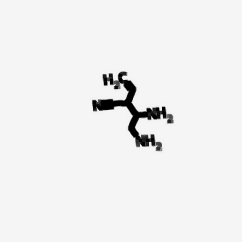 C=CC(C#N)C(N)CN